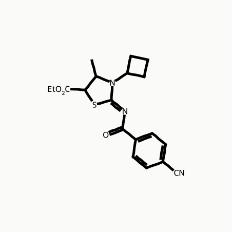 CCOC(=O)C1SC(=NC(=O)c2ccc(C#N)cc2)N(C2CCC2)C1C